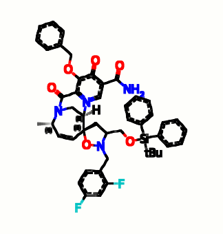 C[C@H]1C=C[C@]2(CC(CO[Si](c3ccccc3)(c3ccccc3)C(C)(C)C)N(Cc3ccc(F)cc3F)O2)[C@H]2CN1C(=O)c1c(OCc3ccccc3)c(=O)c(C(N)=O)cn12